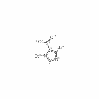 CCn1cncc1S(=O)[O-].[Li+]